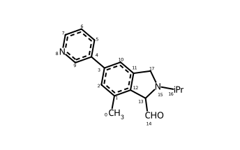 Cc1cc(-c2cccnc2)cc2c1C(C=O)N(C(C)C)C2